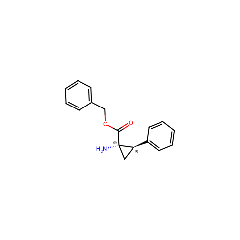 N[C@@]1(C(=O)OCc2ccccc2)C[C@@H]1c1ccccc1